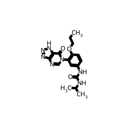 CCCOc1ccc(NC(=O)NC(C)C)cc1-n1cnc2nn[nH]c2c1=O